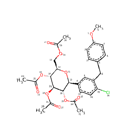 COc1ccc(Cc2cc([C@@H]3O[C@H](COC(C)=O)[C@@H](OC(C)=O)[C@H](OC(C)=O)[C@H]3OC(C)=O)ccc2Cl)cc1